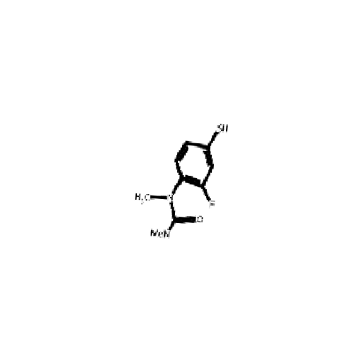 CNC(=O)N(C)c1ccc(S)cc1F